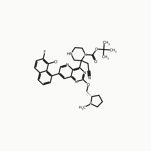 CN1CCC[C@H]1COc1nc(C2(CC#N)CNCCN2C(=O)OC(C)(C)C)c2ncc(-c3cccc4ccc(F)c(Cl)c34)cc2n1